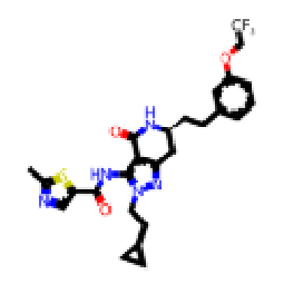 Cc1ncc(C(=O)Nc2c3c(nn2CCC2CC2)C[C@H](CCc2cccc(OCC(F)(F)F)c2)NC3=O)s1